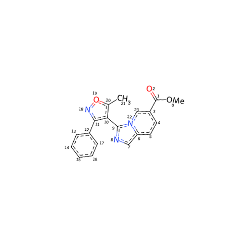 COC(=O)c1ccc2cnc(-c3c(-c4ccccc4)noc3C)n2c1